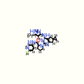 CC(C)c1cc(Nc2nc(N3CCCC3C(=O)Nc3ccc(F)nc3)nc3c2CC2(CC2)C3)n[nH]1